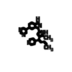 C/C=C\C=C(\c1ccncc1)c1cc(-c2n[nH]c3ccc(-c4cncnc4)cc23)[nH]c1C